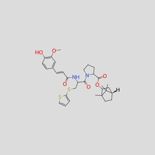 COc1cc(/C=C/C(=O)NC(CSc2cccs2)C(=O)N2CCCC2C(=O)OC2C[C@@H]3CCC2(C)C3(C)C)ccc1O